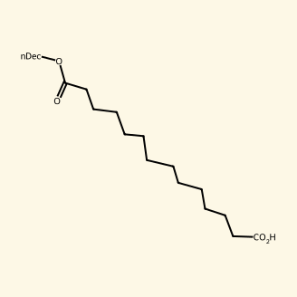 CCCCCCCCCCOC(=O)CCCCCCCCCCCCC(=O)O